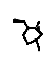 C[C@@H]1CN(I)CCN1C=O